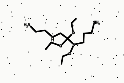 CCON(CCC[SiH3])C(CNCCN)(OCC)OCC